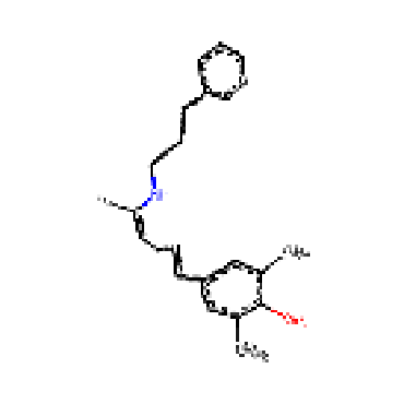 COc1cc(C=CC=C(C#N)NCCCc2ccccc2)cc(OC)c1O